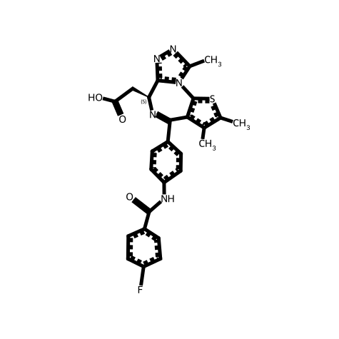 Cc1sc2c(c1C)C(c1ccc(NC(=O)c3ccc(F)cc3)cc1)=N[C@@H](CC(=O)O)c1nnc(C)n1-2